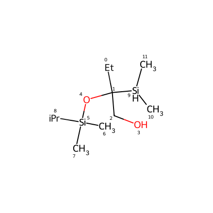 CCC(CO)(O[Si](C)(C)C(C)C)[SiH](C)C